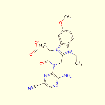 CCn1c(CN(C=O)c2nc(C#N)cnc2N)[n+](CC)c2ccc(OC)cc21.O=C[O-]